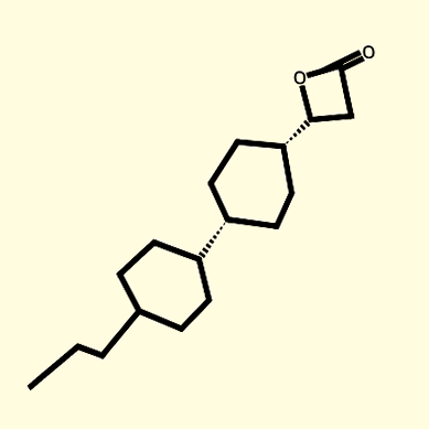 CCCC1CCC([C@H]2CC[C@@H](C3CC(=O)O3)CC2)CC1